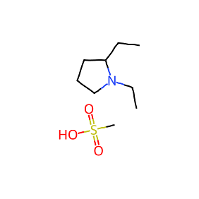 CCC1CCCN1CC.CS(=O)(=O)O